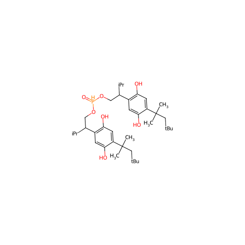 CC(C)C(CO[PH](=O)OCC(c1cc(O)c(C(C)(C)CC(C)(C)C)cc1O)C(C)C)c1cc(O)c(C(C)(C)CC(C)(C)C)cc1O